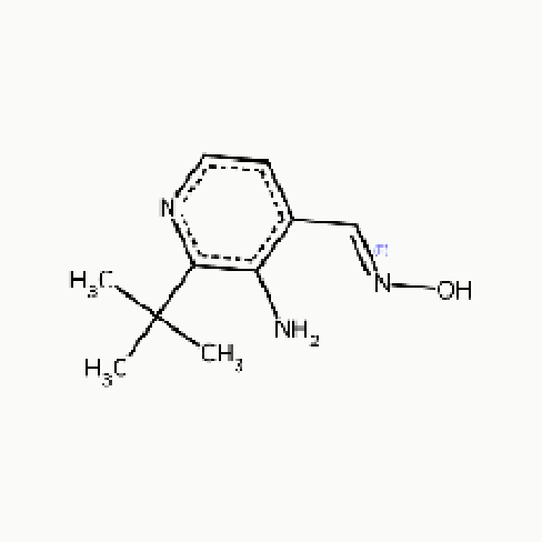 CC(C)(C)c1nccc(/C=N/O)c1N